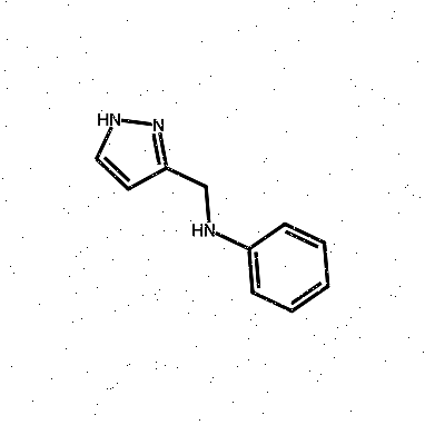 c1ccc(NCc2cc[nH]n2)cc1